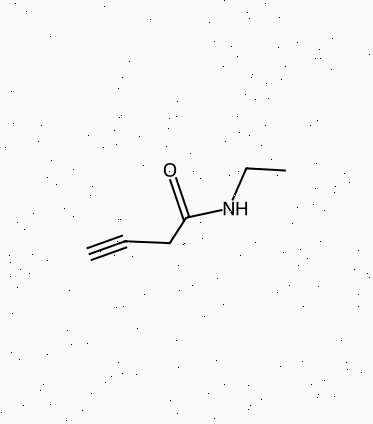 C#CCC(=O)NCC